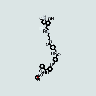 O=C(NC(c1ccccc1)c1cccc(OCc2ccc(C(=O)NCC3CCC(C(=O)OCCCCNC[C@H](O)c4ccc(O)c5[nH]c(=O)ccc45)CC3)cc2)c1)O[C@H]1CN2CCC1CC2